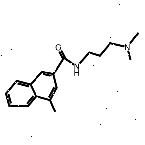 Cc1cc(C(=O)NCCCN(C)C)cc2ccccc12